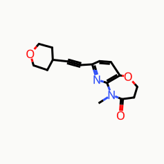 CN1C(=O)CCOc2ccc(C#CC3CCOCC3)nc21